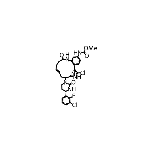 COC(=O)Nc1ccc2c(c1)NC(=O)CC/C=C/C[C@H](N1CC[C@H](c3cccc(Cl)c3F)NC1=O)c1nc-2c(Cl)[nH]1